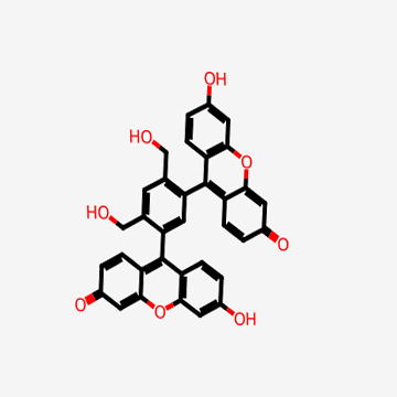 O=c1ccc2c(-c3cc(-c4c5ccc(=O)cc-5oc5cc(O)ccc45)c(CO)cc3CO)c3ccc(O)cc3oc-2c1